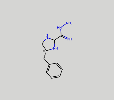 N=C(NN)C1NC[C@@H](Cc2ccccc2)N1